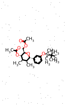 CC(=O)OC[C@H]1O[C@H](c2cccc(O[Si](C)(C)C(C)(C)C)c2)[C@@H](C)[C@@H](C)[C@@H]1OC(C)=O